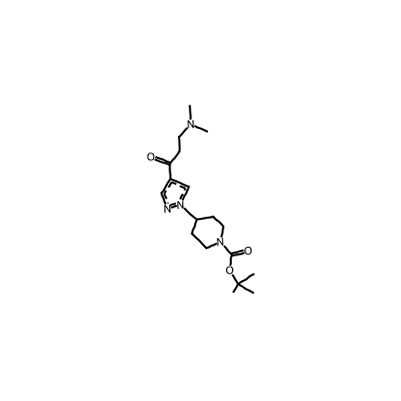 CN(C)CCC(=O)c1cnn(C2CCN(C(=O)OC(C)(C)C)CC2)c1